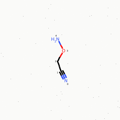 N#CCON